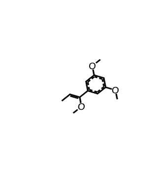 CC=C(OC)c1cc(OC)cc(OC)c1